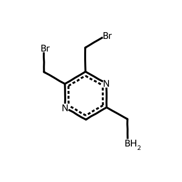 BCc1cnc(CBr)c(CBr)n1